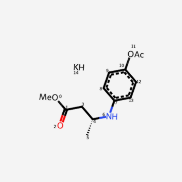 COC(=O)C[C@@H](C)Nc1ccc(OC(C)=O)cc1.[KH]